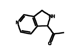 CC(=O)C1NCc2cnccc21